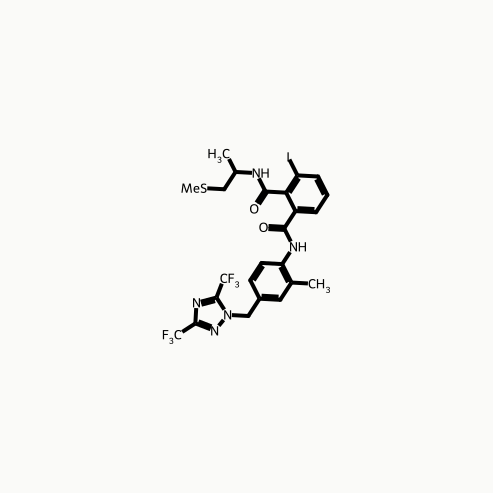 CSCC(C)NC(=O)c1c(I)cccc1C(=O)Nc1ccc(Cn2nc(C(F)(F)F)nc2C(F)(F)F)cc1C